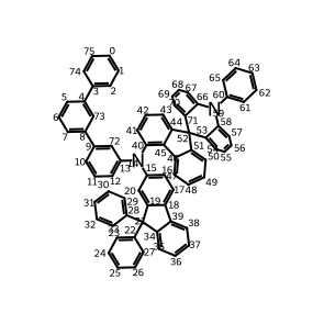 c1ccc(-c2cccc(-c3cccc(N(c4ccc5c(c4)C(c4ccccc4)(c4ccccc4)c4ccccc4-5)c4cccc5c4-c4ccccc4C54c5ccccc5N(c5ccccc5)c5ccccc54)c3)c2)cc1